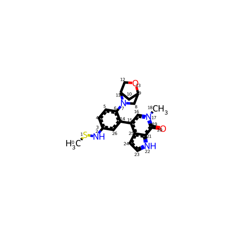 CSNc1ccc(N2CC3CC2CO3)c(-c2cn(C)c(=O)c3[nH]ccc23)c1